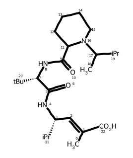 C/C(=C\[C@@H](NC(=O)[C@@H](NC(=O)C1CCCCN1C(C)C(C)C)C(C)(C)C)C(C)C)C(=O)O